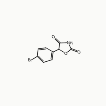 O=C1NC(=O)C(c2ccc(Br)cc2)O1